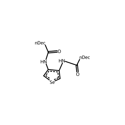 CCCCCCCCCCC(=O)Nc1c[se]cc1NC(=O)CCCCCCCCCC